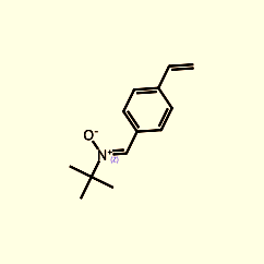 C=Cc1ccc(/C=[N+](\[O-])C(C)(C)C)cc1